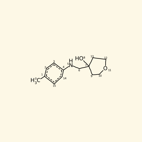 Cc1ccc(NCC2(O)CCOCC2)cc1